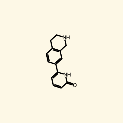 O=c1cccc(-c2ccc3c(c2)CNCC3)[nH]1